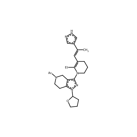 CCC1=C(/C=C(\C)c2cn[nH]c2)CCCN1c1nn(C2CCCO2)c2c1CN(C(C)=O)CC2